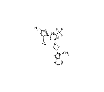 Cc1nc(C2CC2)n(-c2cc(N3CC(c4nc5ccccc5n4C)C3)nc(C(F)(F)F)n2)n1